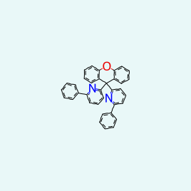 c1ccc(-c2cccc(C3(c4cccc(-c5ccccc5)n4)c4ccccc4Oc4ccccc43)n2)cc1